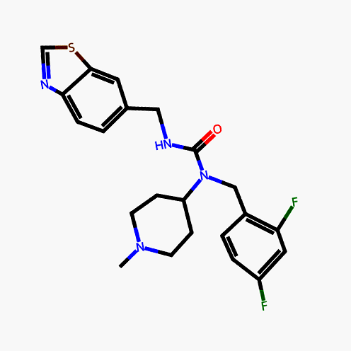 CN1CCC(N(Cc2ccc(F)cc2F)C(=O)NCc2ccc3ncsc3c2)CC1